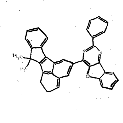 CC1(C)C2=C(c3ccccc31)c1cc(-c3nc(-c4ccccc4)nc4c3oc3ccccc34)cc3c1=C2CCC=3